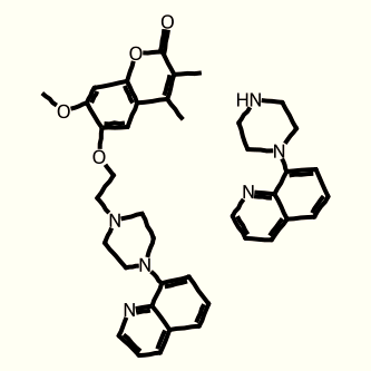 COc1cc2oc(=O)c(C)c(C)c2cc1OCCN1CCN(c2cccc3cccnc23)CC1.c1cnc2c(N3CCNCC3)cccc2c1